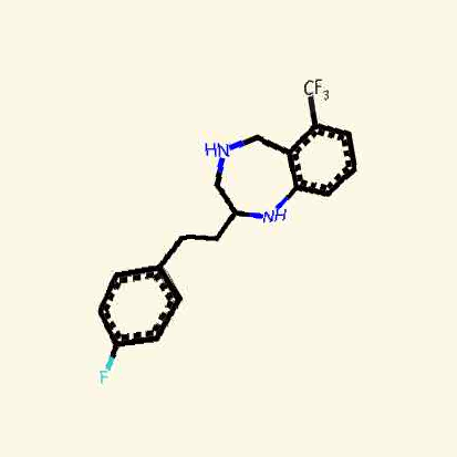 Fc1ccc(CCC2CNCc3c(cccc3C(F)(F)F)N2)cc1